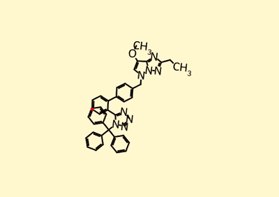 CCc1nc2c(OC)cn(Cc3ccc(-c4ccccc4-c4nnnn4C(c4ccccc4)(c4ccccc4)c4ccccc4)cc3)n2n1